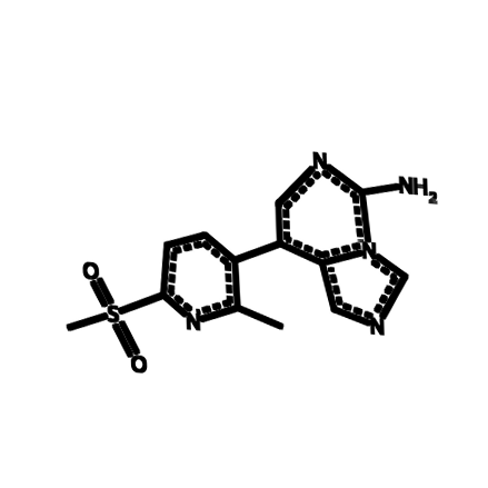 Cc1nc(S(C)(=O)=O)ccc1-c1cnc(N)n2cncc12